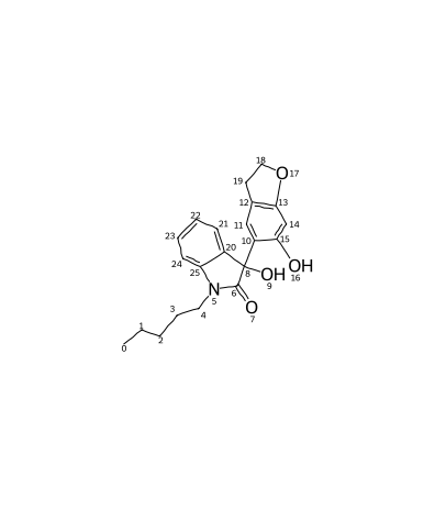 CCCCCN1C(=O)C(O)(c2cc3c(cc2O)OCC3)c2ccccc21